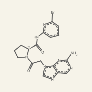 Nc1ncc2ncn(CC(=O)N3CCC[C@H]3C(=O)Nc3cccc(Br)n3)c2n1